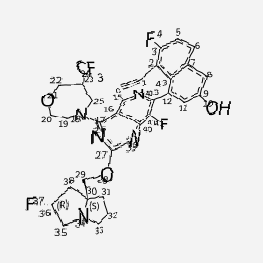 C#Cc1c(F)ccc2cc(O)cc(-c3ncc4c(N5CCOCC(C(F)(F)F)C5)nc(OC[C@@]56CCCN5C[C@H](F)C6)nc4c3F)c12